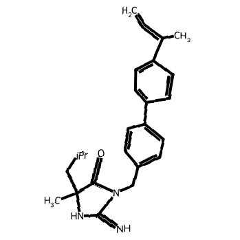 C=C=C(C)c1ccc(-c2ccc(CN3C(=N)NC(C)(CC(C)C)C3=O)cc2)cc1